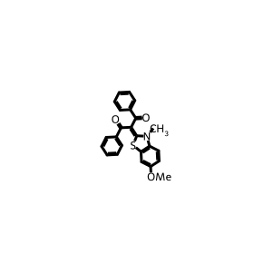 COc1ccc2c(c1)SC(=C(C(=O)c1ccccc1)C(=O)c1ccccc1)N2C